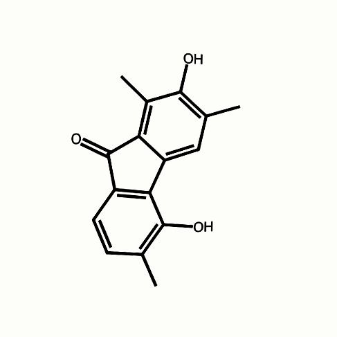 Cc1cc2c(c(C)c1O)C(=O)c1ccc(C)c(O)c1-2